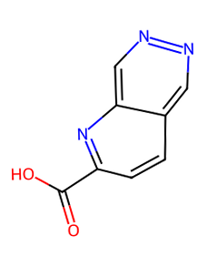 O=C(O)c1ccc2cnncc2n1